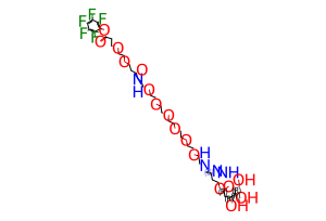 N=N/C(=C\NCCOCCOCCOCCOCCOCCOCCNC(=O)CCOCCOCCC(=O)Oc1c(F)c(F)c(F)c(F)c1F)CCO[C@H]1C[C@@H](O)[C@@H](O)[C@@H](CO)O1